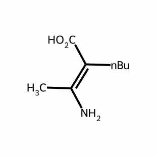 CCCCC(C(=O)O)=C(C)N